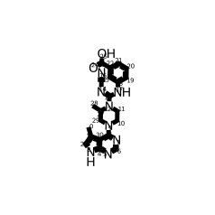 Cc1c[nH]c2ncnc(N3CCN(C(=NC#N)Nc4cccc(C(=O)O)c4)C(C)C3)c12